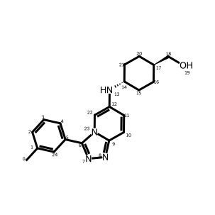 Cc1cccc(-c2nnc3ccc(N[C@H]4CC[C@H](CO)CC4)cn23)c1